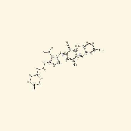 CC(C)c1c(/C=c2\[nH]c(=O)/c(=C/c3cc(F)ccc3F)[nH]c2=O)ncn1CCCN1CCNCC1